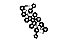 CC(C)(C)c1cccc2c1oc1c(N(c3ccc(C4CCCC4)cc3)c3cc4c(c5ccccc35)-c3c(cc(N(c5ccc(C6CCCC6)cc5)c5cccc6c5oc5c(C(C)(C)C)cccc56)c5ccccc35)C4(c3ccccc3)c3ccccc3)cccc12